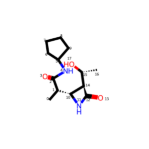 CC(C(=O)NC1CCCC1)[C@H]1NC(=O)[C@@H]1[C@@H](C)O